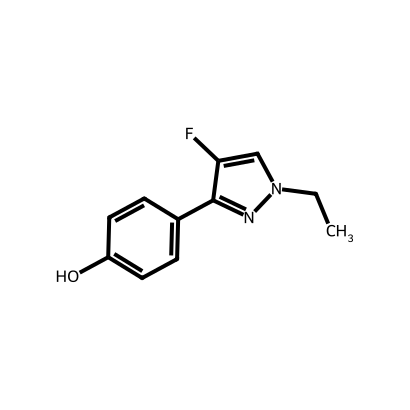 CCn1cc(F)c(-c2ccc(O)cc2)n1